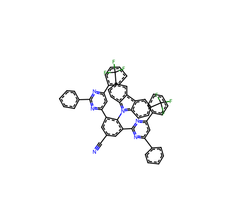 N#Cc1cc(-c2cc(-c3ccccc3)nc(-c3ccccc3)n2)c(-n2c3ccc(C(F)(F)F)cc3c3cc(C(F)(F)F)ccc32)c(-c2nc(-c3ccccc3)cc(-c3ccccc3)n2)c1